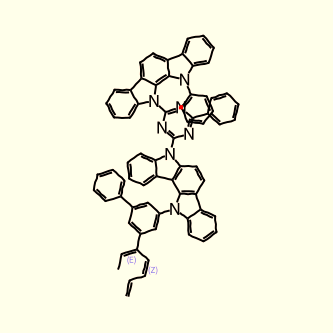 C=C/C=C\C(=C/C)c1cc(-c2ccccc2)cc(-n2c3ccccc3c3ccc4c(c5ccccc5n4-c4nc(-c5ccccc5)nc(-n5c6ccccc6c6ccc7c8ccccc8n(-c8ccccc8)c7c65)n4)c32)c1